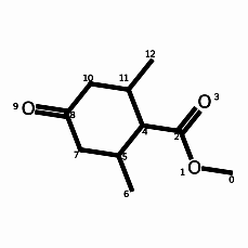 COC(=O)C1C(C)CC(=O)CC1C